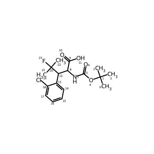 CC(C)(C)OC(=O)NC(C(=O)O)C(c1ccccc1Cl)C(C)(C)F